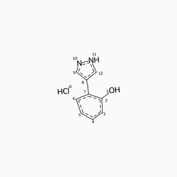 Cl.Oc1ccccc1-c1cn[nH]c1